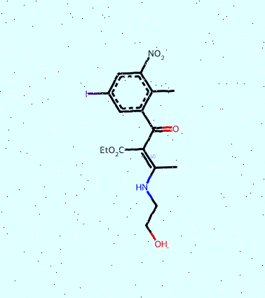 CCOC(=O)/C(C(=O)c1cc(I)cc([N+](=O)[O-])c1C)=C(/C)NCCO